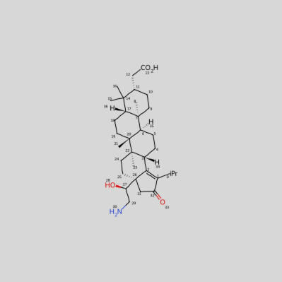 CC(C)C1=C2[C@H]3CC[C@@H]4[C@]5(C)CC[C@@H](CC(=O)O)C(C)(C)[C@H]5CC[C@@]4(C)[C@]3(C)CC[C@@]2([C@H](O)CN)CC1=O